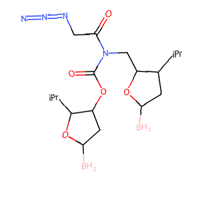 BC1CC(C(C)C)C(CN(C(=O)CN=[N+]=[N-])C(=O)OC2CC(B)OC2C(C)C)O1